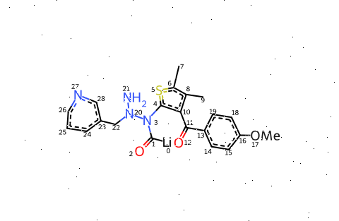 [Li][C](=O)N(c1sc(C)c(C)c1C(=O)c1ccc(OC)cc1)N(N)Cc1cccnc1